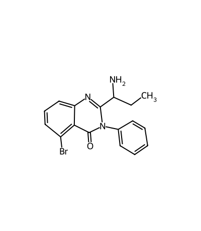 CCC(N)c1nc2cccc(Br)c2c(=O)n1-c1ccccc1